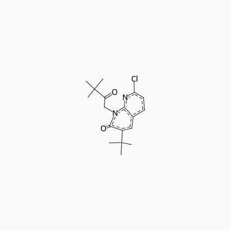 CC(C)(C)C(=O)Cn1c(=O)c(C(C)(C)C)cc2ccc(Cl)nc21